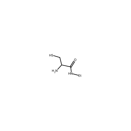 CCNC(=O)C(N)CS